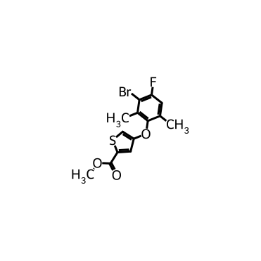 COC(=O)c1cc(Oc2c(C)cc(F)c(Br)c2C)cs1